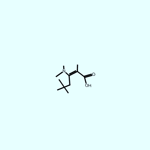 CC(C(=O)O)=C(CC(C)(C)C)N(C)C